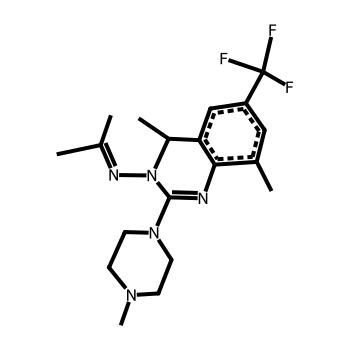 CC(C)=NN1C(N2CCN(C)CC2)=Nc2c(C)cc(C(F)(F)F)cc2C1C